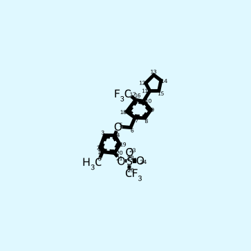 Cc1ccc(OCc2ccc(C3CCCC3)c(C(F)(F)F)c2)cc1OS(=O)(=O)C(F)(F)F